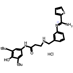 CC(C)(C)c1cc(NC(=O)CCNCc2cccc(/N=C(\N)c3cccs3)c2)cc(C(C)(C)C)c1O.Cl